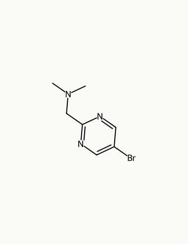 CN(C)Cc1ncc(Br)cn1